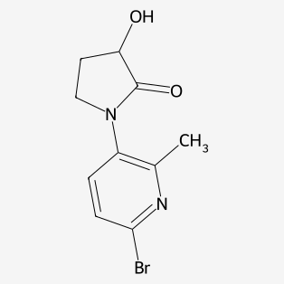 Cc1nc(Br)ccc1N1CCC(O)C1=O